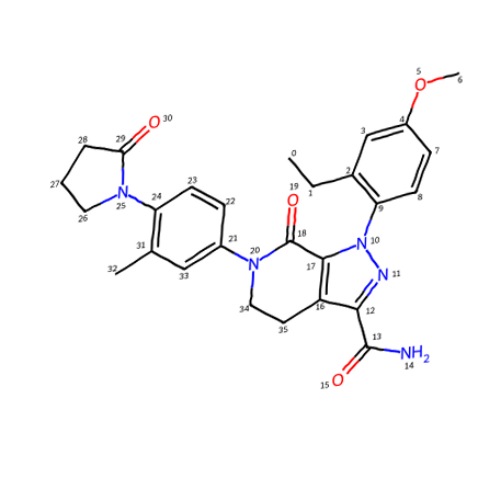 CCc1cc(OC)ccc1-n1nc(C(N)=O)c2c1C(=O)N(c1ccc(N3CCCC3=O)c(C)c1)CC2